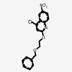 O=[N+]([O-])c1ccc2nc(OCCOCc3ccccc3)cc(Cl)c2c1